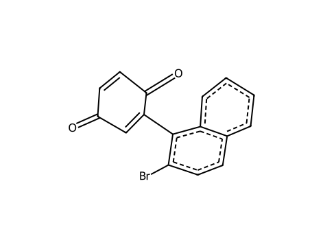 O=C1C=CC(=O)C(c2c(Br)ccc3ccccc23)=C1